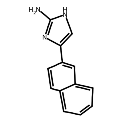 Nc1nc(-c2ccc3ccccc3c2)c[nH]1